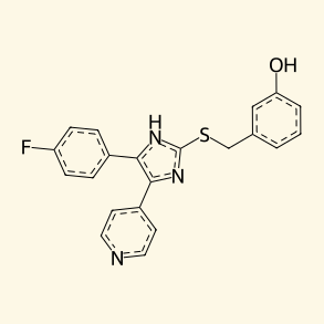 Oc1cccc(CSc2nc(-c3ccncc3)c(-c3ccc(F)cc3)[nH]2)c1